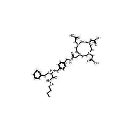 CCCCONC(=O)[C@@H](CCc1ccccc1)NCc1ccc(CNC(=O)CN2CCN(CC(=O)O)CCN(CC(=O)O)CCN(CC(=O)O)CC2)cc1